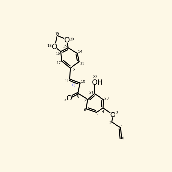 C=CCOc1ccc(C(=O)/C=C/c2ccc3c(c2)OCO3)c(O)c1